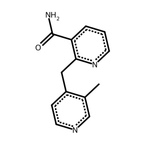 Cc1cnccc1Cc1ncccc1C(N)=O